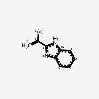 C=C(C(C)=O)c1nc2ccccc2[nH]1